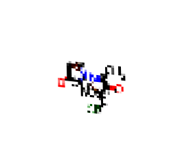 CC1=NSC(CCl)C1=O.CCCCCCCCC1=NSCC1=O